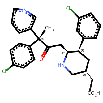 C[C@@](C(=O)C[C@@H]1NC[C@@H](CC(=O)O)C[C@@H]1c1cccc(Cl)c1)(c1ccc(Cl)cc1)c1cccnc1